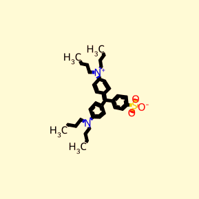 CCCCN(CCCC)c1ccc(C(=C2C=CC(=[N+](CCCC)CCCC)C=C2)c2ccc(S(=O)(=O)[O-])cc2)cc1